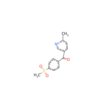 Cc1ccc(C(=O)c2ccc(S(C)(=O)=O)cc2)cn1